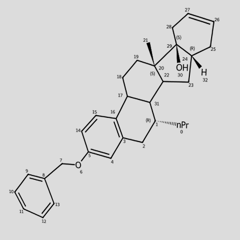 CCC[C@@H]1Cc2cc(OCc3ccccc3)ccc2C2CC[C@@]3(C)C(C[C@H]4CC=CC[C@]43O)C21